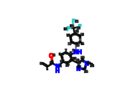 C=CC(=O)Nc1ccc(Nc2ccc(C(F)(F)F)cc2)c(-c2cn(C)cn2)c1